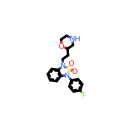 O=S1(=O)N(CCC2CNCCO2)c2ccccc2N1c1ccc(F)cc1